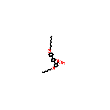 CCCCCCCCCOc1ccc(-c2ccc(-c3cc(OCCCCCCC)ccc3C(=O)O)cc2)cc1